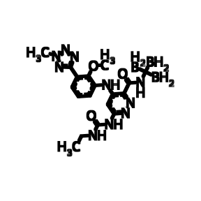 BC(B)(B)NC(=O)c1nnc(NC(=O)NCC)cc1Nc1cccc(-c2nnn(C)n2)c1OC